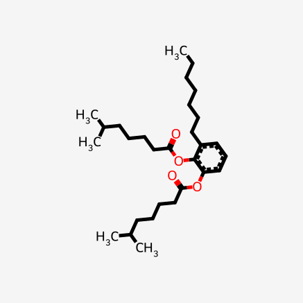 CCCCCCCc1cccc(OC(=O)CCCCC(C)C)c1OC(=O)CCCCC(C)C